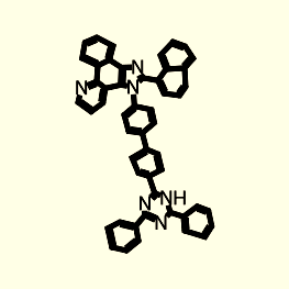 c1ccc(C2=NC(c3ccccc3)NC(c3ccc(-c4ccc(-n5c(-c6cccc7ccccc67)nc6c7ccccc7c7ncccc7c65)cc4)cc3)=N2)cc1